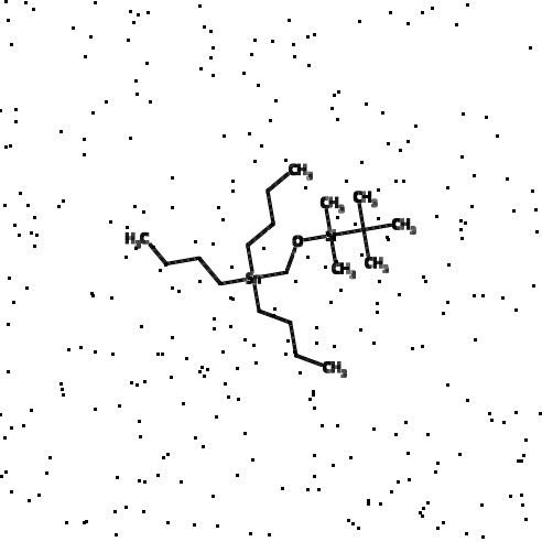 CCC[CH2][Sn]([CH2]CCC)([CH2]CCC)[CH2]O[Si](C)(C)C(C)(C)C